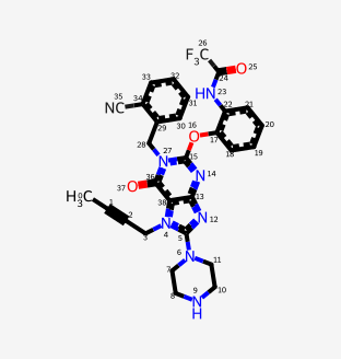 CC#CCn1c(N2CCNCC2)nc2nc(Oc3ccccc3NC(=O)C(F)(F)F)n(Cc3ccccc3C#N)c(=O)c21